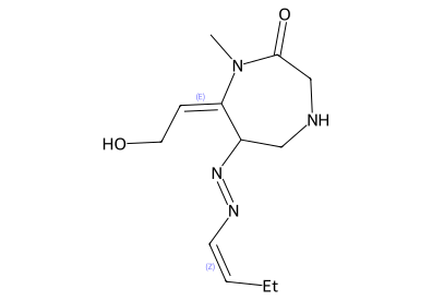 CC/C=C\N=NC1CNCC(=O)N(C)/C1=C/CO